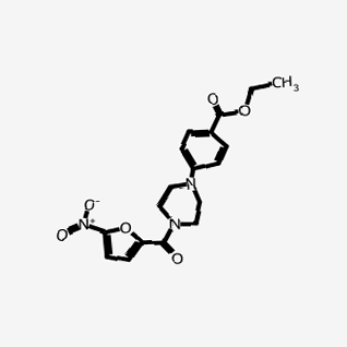 CCOC(=O)c1ccc(N2CCN(C(=O)c3ccc([N+](=O)[O-])o3)CC2)cc1